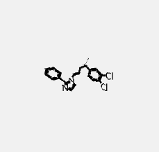 C[C@@H](CC=Cn1ccnc1-c1ccccc1)c1ccc(Cl)c(Cl)c1